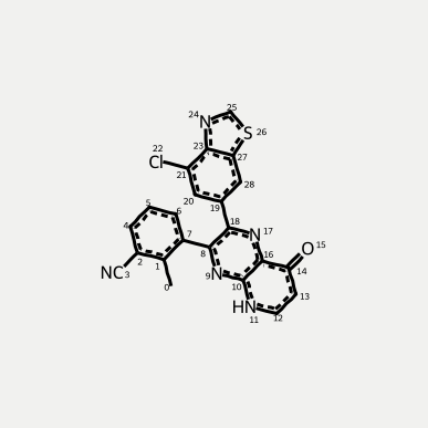 Cc1c(C#N)cccc1-c1nc2[nH]ccc(=O)c2nc1-c1cc(Cl)c2ncsc2c1